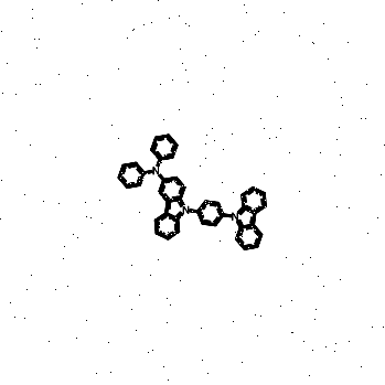 c1ccc(N(c2ccccc2)c2ccc3c(c2)c2ccccc2n3-c2ccc(-n3c4ccccc4c4ccccc43)cc2)cc1